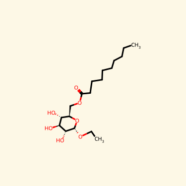 CCCCCCCCCC(=O)OC[C@H]1O[C@H](OCC)[C@H](O)[C@@H](O)[C@@H]1O